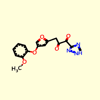 COc1ccccc1Oc1coc(CC(=O)C(=O)c2nc[nH]n2)c1